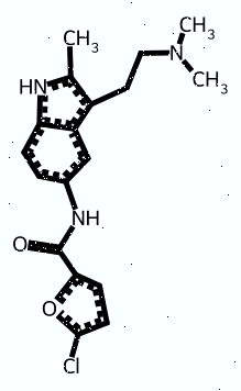 Cc1[nH]c2ccc(NC(=O)c3ccc(Cl)o3)cc2c1CCN(C)C